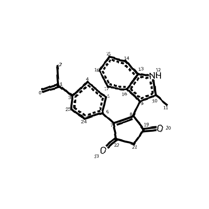 C=C(C)c1ccc(C2=C(c3c(C)[nH]c4ccccc34)C(=O)CC2=O)cc1